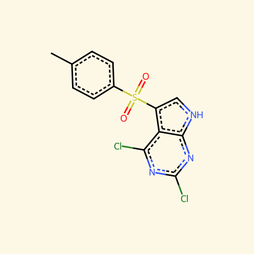 Cc1ccc(S(=O)(=O)c2c[nH]c3nc(Cl)nc(Cl)c23)cc1